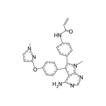 C=CC(=O)Nc1ccc(-c2c(-c3ccc(Oc4ccn(C)n4)cc3)c3c(N)ncnc3n2C)cc1